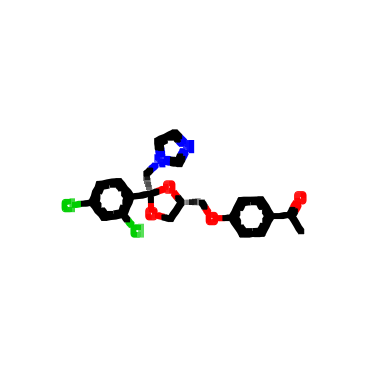 CC(=O)c1ccc(OC[C@@H]2CO[C@@](Cn3ccnc3)(c3ccc(Cl)cc3Cl)O2)cc1